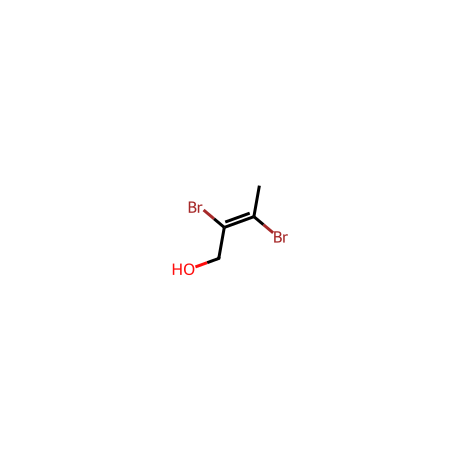 CC(Br)=C(Br)CO